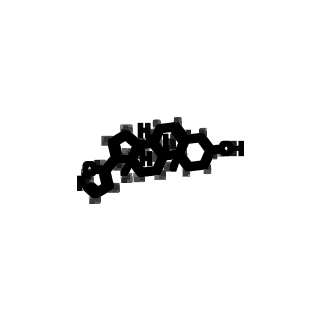 C[C@]12CCC(O)CC1=CC[C@@H]1[C@@H]2CC[C@]2(C)C(c3ccno3)=CC[C@@H]12